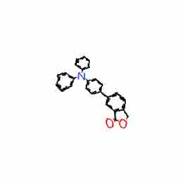 O=C1OCc2ccc(-c3ccc(N(c4ccccc4)c4ccccc4)cc3)cc21